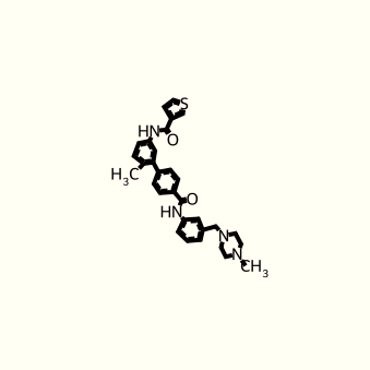 Cc1ccc(NC(=O)c2ccsc2)cc1-c1ccc(C(=O)Nc2cccc(CN3CCN(C)CC3)c2)cc1